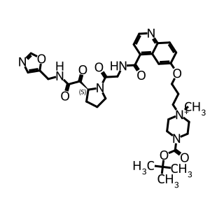 CC(C)(C)OC(=O)N1CC[N+](C)(CCCOc2ccc3nccc(C(=O)NCC(=O)N4CCC[C@H]4C(=O)C(=O)NCc4cnco4)c3c2)CC1